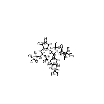 CC(C)(C)[C@H](NC(=O)C(F)(F)F)C(=O)N1C[C@H]2CC(F)(F)C[C@H]2[C@@H]1C(=O)N[C@@H](/C=C(\F)S(C)(=O)=O)C[C@@H]1CCNC1=O